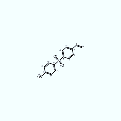 C=Cc1ccc(S(=O)(=O)c2ccc(S)cc2)cc1